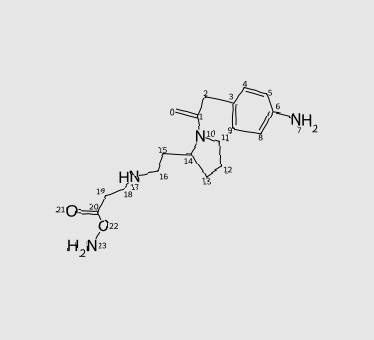 C=C(Cc1ccc(N)cc1)N1CCCC1CCNCCC(=O)ON